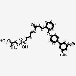 CC(C)(C)c1cc(-c2ccc(Oc3ccccc3CCC(=O)OCCCOP(=O)(O)OCC(N)C(=O)O)cc2)cc(C(C)(C)C)c1